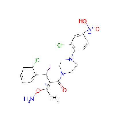 C/C(ON)=C(\C(=O)N1CCN(c2ccc([NH+]([O-])O)cc2Cl)CC1)C(I)c1ccccc1Cl